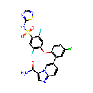 NC(=O)c1cnc2ccc(-c3cc(Cl)ccc3Oc3cc(F)c(S(=O)(=O)Nc4ncns4)cc3F)cn12